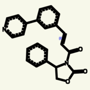 O=C(/C=C/c1cccc(-c2ccncc2)c1)N1C(=O)OCC1c1ccccc1